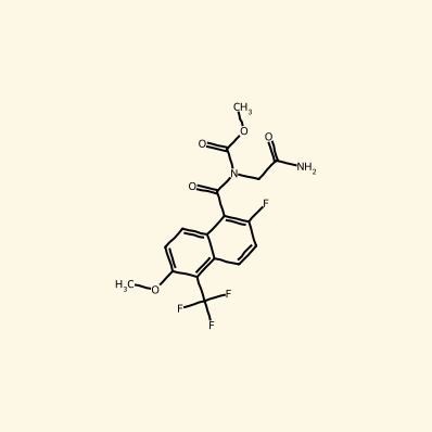 COC(=O)N(CC(N)=O)C(=O)c1c(F)ccc2c(C(F)(F)F)c(OC)ccc12